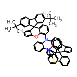 CC(C)(C)c1ccc2c(c1)C1(c3ccccc3Oc3c(N(c4ccc5c(c4)C4(c6ccccc6Sc6ccccc64)c4ccccc4-5)c4ccccc4-n4c5ccccc5c5ccccc54)cccc31)c1cc(C(C)(C)C)ccc1-2